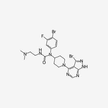 CN(C)CCNC(=O)N(c1ccc(Br)c(F)c1)C1CCN(c2ncnc3[nH]nc(Br)c23)CC1